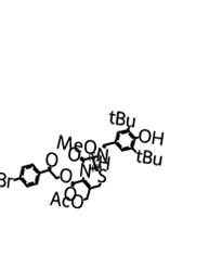 CO[C@@]1(N=Cc2cc(C(C)(C)C)c(O)c(C(C)(C)C)c2)C(=O)N2C(C(=O)OCC(=O)c3ccc(Br)cc3)=C(COC(C)=O)CS[C@H]21